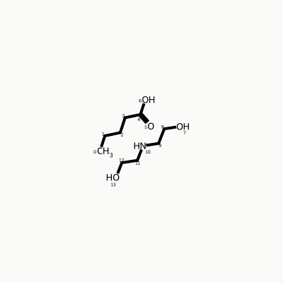 CCCCC(=O)O.OCCNCCO